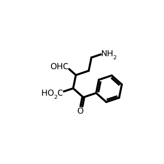 NCCC(C=O)C(C(=O)O)C(=O)c1ccccc1